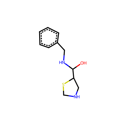 OC(NCc1ccccc1)C1CNCS1